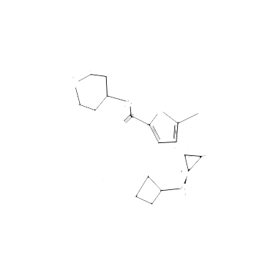 Cc1sc(C(=O)NC2CCOCC2)cc1[C@@H]1C[C@H]1NC1CCC1.Cl